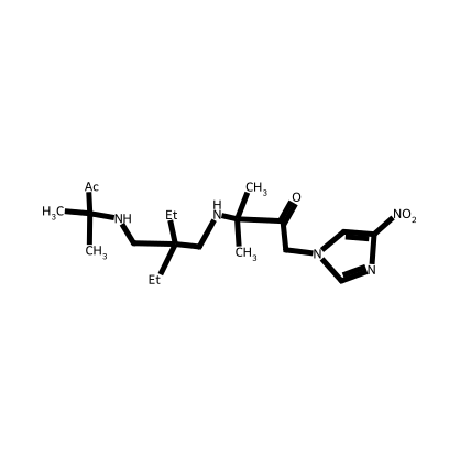 CCC(CC)(CNC(C)(C)C(C)=O)CNC(C)(C)C(=O)Cn1cnc([N+](=O)[O-])c1